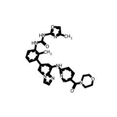 Cc1coc(NC(=O)Nc2cccc(-c3cc(Nc4ccc(C(=O)N5CCOCC5)cn4)c4nccn4c3)c2C)n1